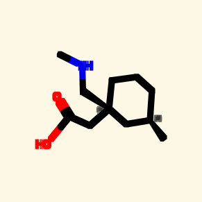 CNC[C@@]1(CC(=O)O)CCC[C@@H](C)C1